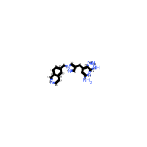 Nc1cc(Cc2cnn(Cc3ccc4cnccc4c3)c2)c2nn[nH]c2n1